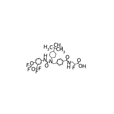 CC(C)(C)C1CCC(N(Cc2ccc(C(=O)NCC(F)C(=O)O)cc2)C(=O)Nc2ccc3c(c2)C(F)(F)OC(F)(F)O3)CC1